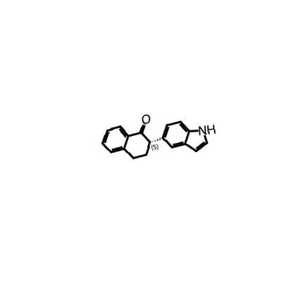 O=C1c2ccccc2CC[C@H]1c1ccc2[nH]ccc2c1